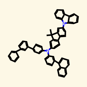 CC1(C)c2cc(N(c3ccc(-c4cccc(-c5ccccc5)c4)cc3)c3cccc(-c4cccc5ccccc45)c3)ccc2-c2ccc(-n3c4ccccc4c4ccccc43)cc21